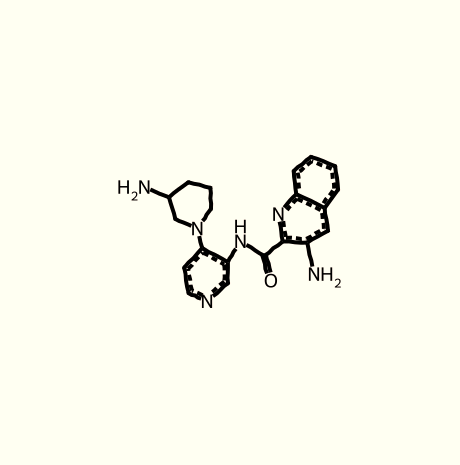 Nc1cc2ccccc2nc1C(=O)Nc1cnccc1N1CCCC(N)C1